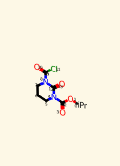 CC(C)OC(=O)N1CCCN(C(=O)Cl)C1=O